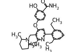 CCc1cccc(CC)c1-c1cc(Oc2ccc(C(N)=O)c(O)c2)c(CN2C(C)CCCC2C)c(C)n1